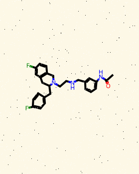 CC(=O)Nc1cccc(CNCCN2Cc3ccc(F)cc3CC2Cc2ccc(F)cc2)c1